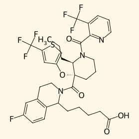 CCC[C@H]1N(C(=O)c2ncccc2C(F)(F)F)CCC[C@@]1(Oc1csc(C(F)(F)F)c1)C(=O)N1CCc2cc(F)ccc2C1CCCCC(=O)O